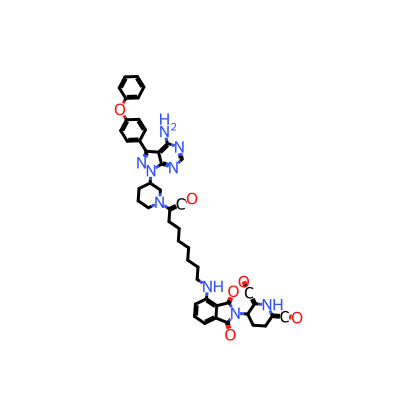 Nc1ncnc2c1c(-c1ccc(Oc3ccccc3)cc1)nn2C1CCCN(C(=C=O)CCCCCCCNc2cccc3c2C(=O)N(C2CCC(=C=O)NC2=C=O)C3=O)C1